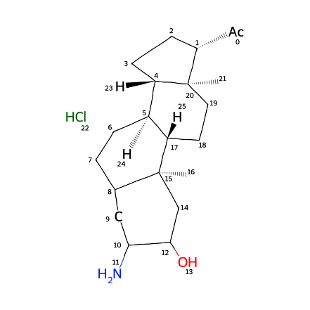 CC(=O)[C@H]1CC[C@H]2[C@@H]3CCC4CC(N)C(O)C[C@]4(C)[C@H]3CC[C@]12C.Cl